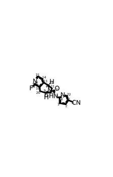 N#Cc1ccc(NC(=O)N2[C@H]3CC[C@@H]2c2ccnc(F)c2C3)nc1